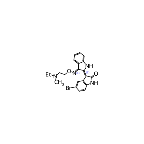 CCN(C)CCO/N=C1/C(=C2/C(=O)Nc3ccc(Br)cc32)Nc2ccccc21